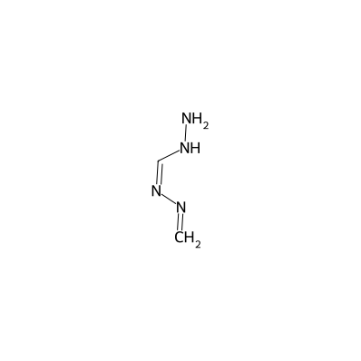 C=N/N=C\NN